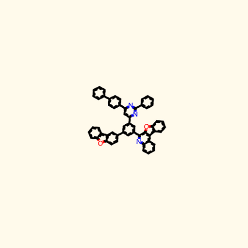 c1ccc(-c2ccc(-c3cc(-c4cc(-c5ccc6oc7ccccc7c6c5)cc(-c5nc6ccccc6c6c5oc5ccccc56)c4)nc(-c4ccccc4)n3)cc2)cc1